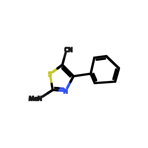 CNc1nc(-c2ccccc2)c(C#N)s1